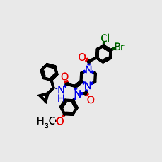 COc1ccc(-n2c(C(=O)N[C@@H](c3ccccc3)C3CC3)c3n(c2=O)CCN(C(=O)c2ccc(Br)c(Cl)c2)C3)cc1